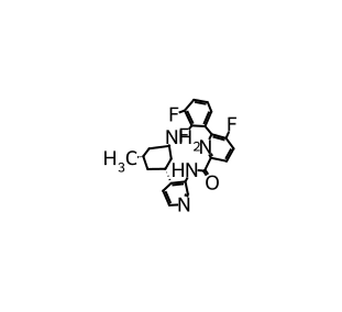 C[C@@H]1C[C@@H](N)C[C@H](c2ccncc2NC(=O)c2ccc(F)c(-c3cccc(F)c3F)n2)C1